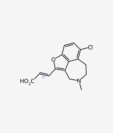 CN1CCc2c(Cl)ccc3oc(/C=C/C(=O)O)c(c23)C1